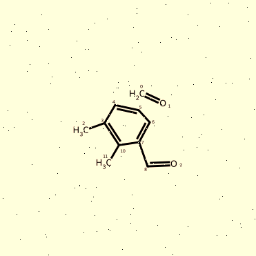 C=O.Cc1cccc(C=O)c1C